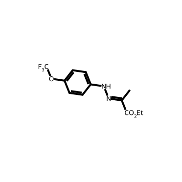 CCOC(=O)C(C)=NNc1ccc(OC(F)(F)F)cc1